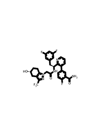 NC(=O)c1cc(-c2cccnc2[C@H](Cc2cc(F)cc(F)c2)NC(=O)Cn2nc(C(F)(F)F)c3c2CC[C@@H](O)C3)ccc1F